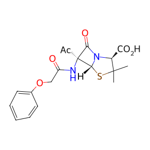 CC(=O)[C@]1(NC(=O)COc2ccccc2)C(=O)N2[C@@H](C(=O)O)C(C)(C)S[C@@H]21